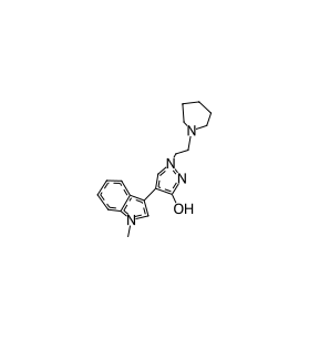 Cn1cc(-c2cn(CCN3CCCCC3)nc2O)c2ccccc21